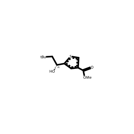 COC(=O)c1csc([C@H](O)CC(C)(C)C)c1